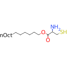 CCCCCCCCCCCCCCOC(=O)[C@@H](N)CS